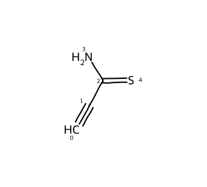 C#CC(N)=S